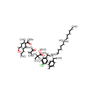 CCC(CC)(CC(=O)O)C(=O)OC=O.CCCCCCCCCCCCCCCC=O.COC(=O)C(C)C=O.COC(=O)CCCCCC=O.Cc1ccc(CC=O)cc1.N#CC(C=O)c1ccc(Cl)cc1.O=CCCCCCC(=O)O.O=CCCCCO